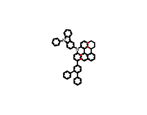 c1ccc(-c2ccc(-c3ccc(N(c4ccc5c(c4)c4ccccc4n5-c4ccccc4)c4ccccc4-c4cccc5cccc(C6CCCCC6)c45)cc3)cc2-c2ccccc2)cc1